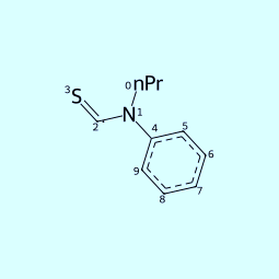 CCCN([C]=S)c1ccccc1